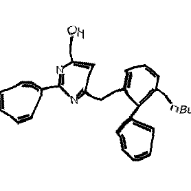 CCCCc1cccc(Cc2cc(O)nc(-c3ccccc3)n2)c1-c1ccccc1